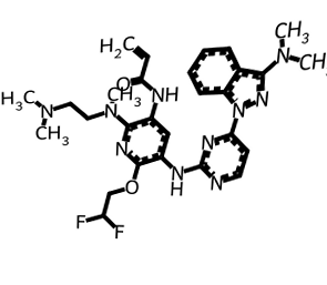 C=CC(=O)Nc1cc(Nc2nccc(-n3nc(N(C)C)c4ccccc43)n2)c(OCC(F)F)nc1N(C)CCN(C)C